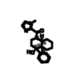 Cn1ccnc1C(=O)N1CC[C@](O)(c2ccccc2)[C@H]2CCCC[C@H]21